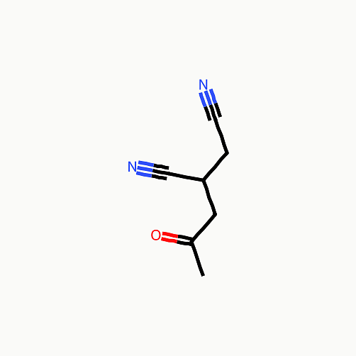 CC(=O)CC(C#N)CC#N